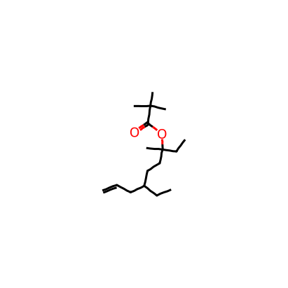 C=CCC(CC)CCC(C)(CC)OC(=O)C(C)(C)C